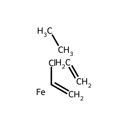 C=C.C=CCl.CC.[Fe]